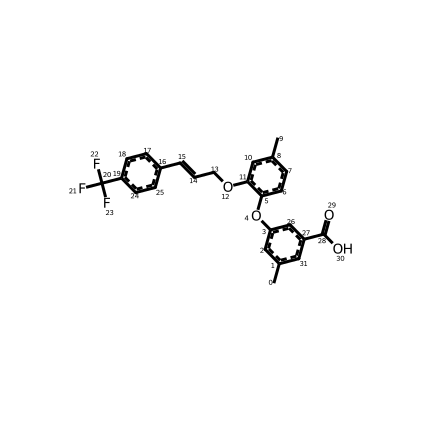 Cc1cc(Oc2ccc(C)cc2OCC=Cc2ccc(C(F)(F)F)cc2)cc(C(=O)O)c1